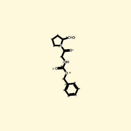 O=[C]C1CCCN1C(=O)CNC(=O)OCc1ccccc1